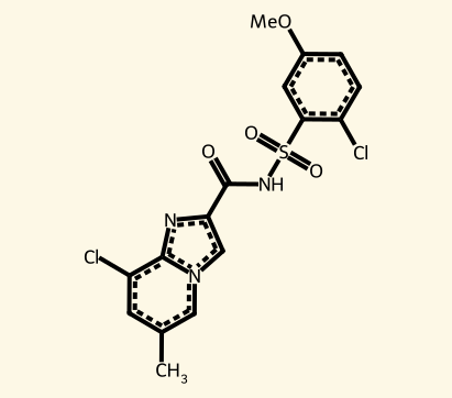 COc1ccc(Cl)c(S(=O)(=O)NC(=O)c2cn3cc(C)cc(Cl)c3n2)c1